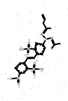 C=CC/C(C)=N/N(N=C(C)C)c1ccc(/C=C/c2ccc([N+](=O)[O-])cc2S(=O)(=O)O)c(S(=O)(=O)O)c1